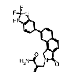 C=C(CN1Cc2c(ccc3ccc(-c4ccc5c(c4)OC(F)(F)N5)cc23)C1=O)C(N)=O